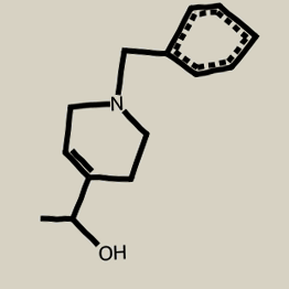 CC(O)C1=CCN(Cc2ccccc2)CC1